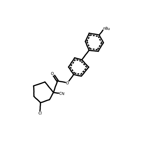 CCCCc1ccc(-c2ccc(OC(=O)C3(C#N)CCCC(Cl)C3)cc2)cc1